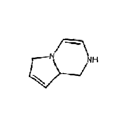 C1=CC2CNC=CN2C1